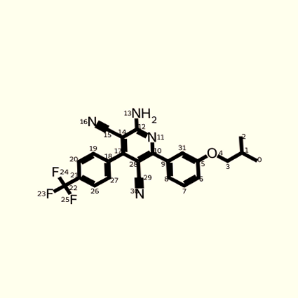 CC(C)COc1cccc(-c2nc(N)c(C#N)c(-c3ccc(C(F)(F)F)cc3)c2C#N)c1